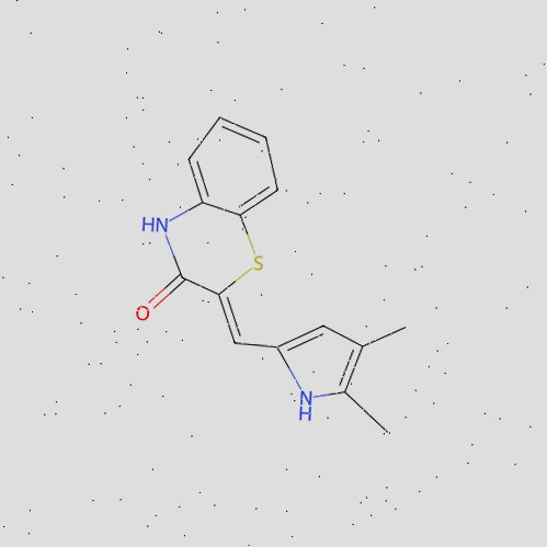 Cc1cc(C=C2Sc3ccccc3NC2=O)[nH]c1C